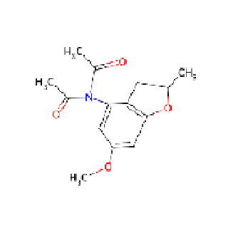 COc1cc2c(c(N(C(C)=O)C(C)=O)c1)CC(C)O2